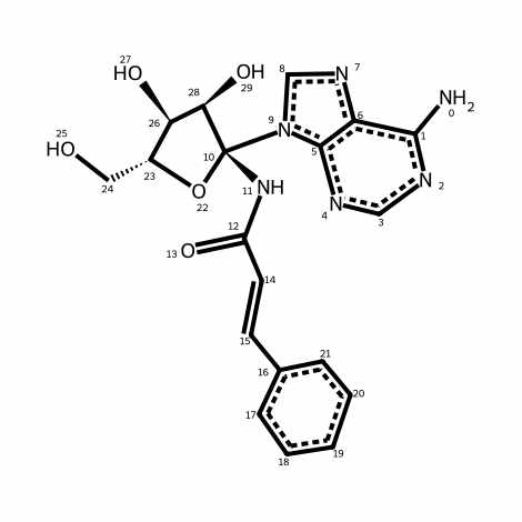 Nc1ncnc2c1ncn2[C@]1(NC(=O)C=Cc2ccccc2)O[C@H](CO)[C@@H](O)[C@H]1O